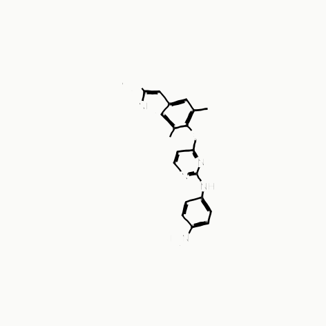 CCOC(=O)/C(N)=C/c1cc(C)c(Oc2ccnc(Nc3ccc(N)cc3)n2)c(C)c1